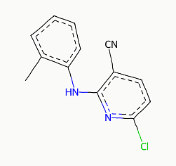 Cc1ccccc1Nc1nc(Cl)ccc1C#N